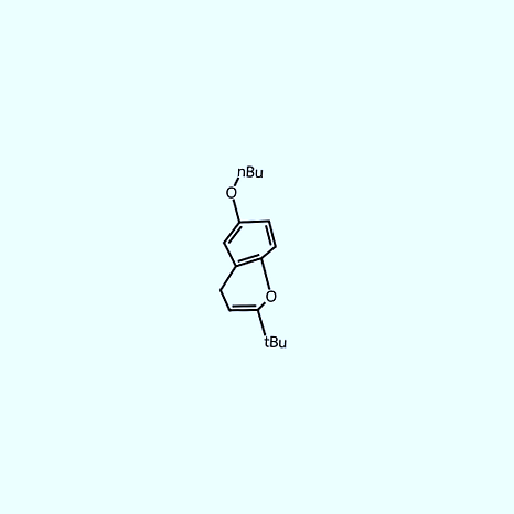 CCCCOc1ccc2c(c1)CC=C(C(C)(C)C)O2